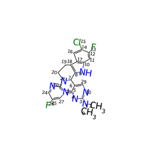 CN(C)c1ncc(C2c3[nH]c4cc(F)c(Cl)cc4c3CCN2c2ncc(F)cn2)cn1